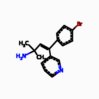 CC(C)(N)C=C(c1ccc(Br)cc1)c1cccnc1